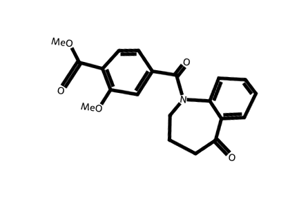 COC(=O)c1ccc(C(=O)N2CCCC(=O)c3ccccc32)cc1OC